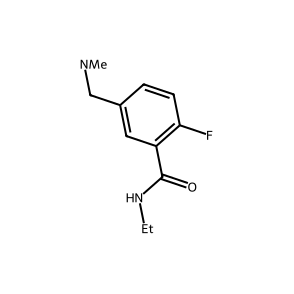 CCNC(=O)c1cc(CNC)ccc1F